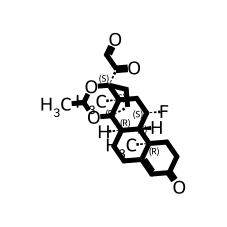 CC1O[C@@]2(C(=O)C=O)CC[C@@]3(O1)[C@@H]1CCC4=CC(=O)CC[C@]4(C)[C@H]1[C@@H](F)C[C@]23C